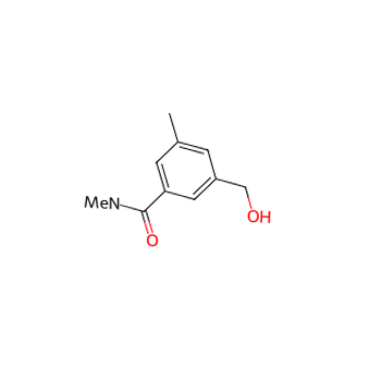 CNC(=O)c1cc(C)cc(CO)c1